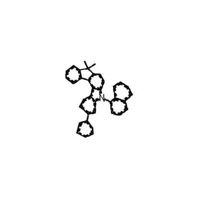 CC1(C)c2ccccc2-c2c1ccc1c2c2ccc(-c3ccccc3)cc2n1-c1cccc2ccccc12